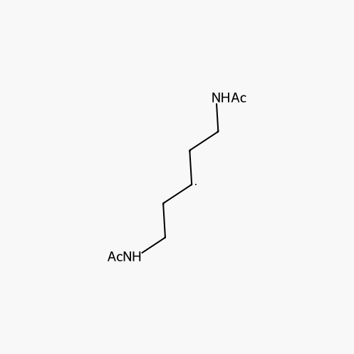 CC(=O)NCC[CH]CCNC(C)=O